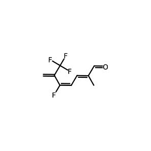 C=C(/C(F)=C\C=C(/C)C=O)C(F)(F)F